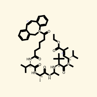 CCOC(=O)/C(C)=C/[C@H](C(C)C)N(C)C(=O)[C@@H](NC(C)NC(=O)[C@H](C)NC(=O)[C@@H](NC(=O)CCCCC(=O)N1Cc2ccccc2/C=C\c2ccccc21)C(C)C)C(C)(C)C